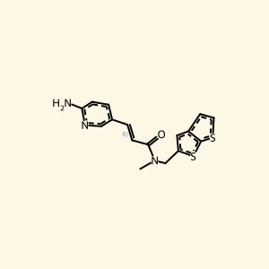 CN(Cc1cc2ccsc2s1)C(=O)/C=C/c1ccc(N)nc1